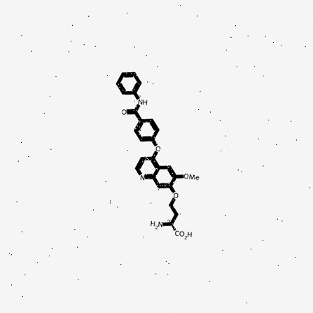 COc1cc2c(Oc3ccc(C(=O)Nc4ccccc4)cc3)ccnc2cc1OCC[C@H](N)C(=O)O